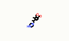 Cc1c(C(C)CN2CCNCC2)ccc2c1COC2=O